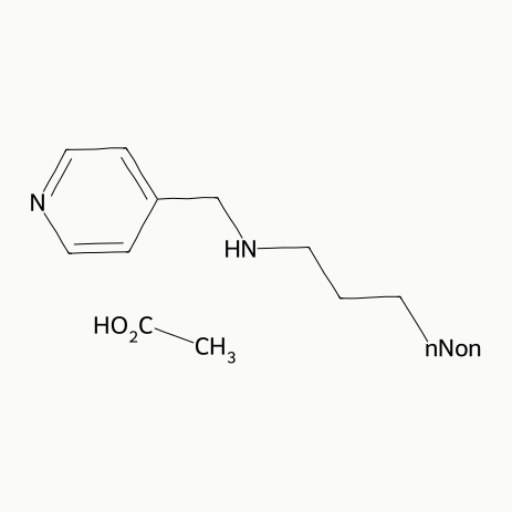 CC(=O)O.CCCCCCCCCCCCNCc1ccncc1